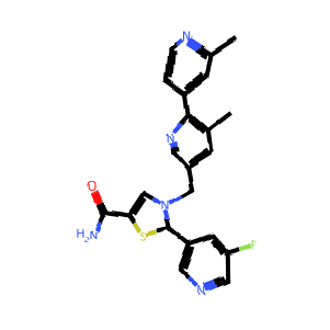 Cc1cc(-c2ncc(CN3C=C(C(N)=O)SC3c3cncc(F)c3)cc2C)ccn1